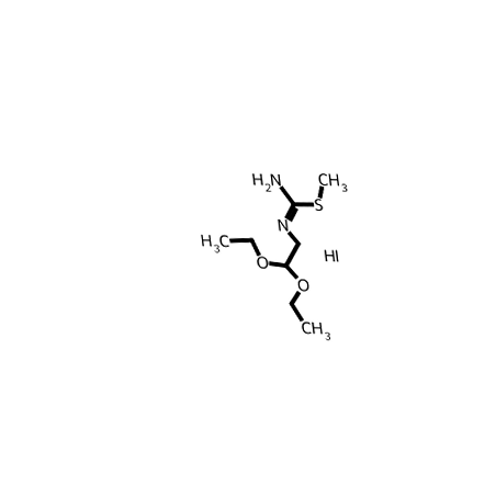 CCOC(CN=C(N)SC)OCC.I